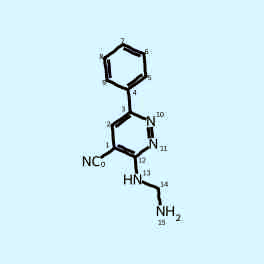 N#Cc1cc(-c2ccccc2)nnc1NCN